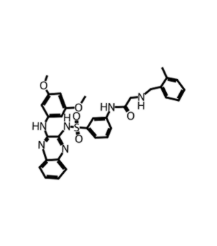 COc1cc(Nc2nc3ccccc3nc2NS(=O)(=O)c2cccc(NC(=O)CNCc3ccccc3C)c2)cc(OC)c1